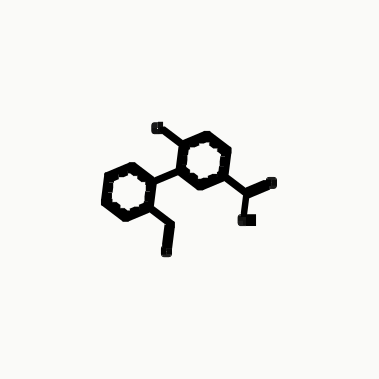 O=Cc1ccccc1-c1cc(C(=O)O)ccc1Cl